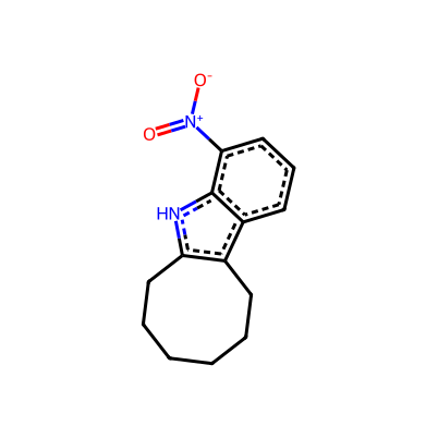 O=[N+]([O-])c1cccc2c3c([nH]c12)CCCCCC3